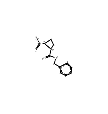 O=C(OCc1ccccc1)N1CCC1[N+](=O)[O-]